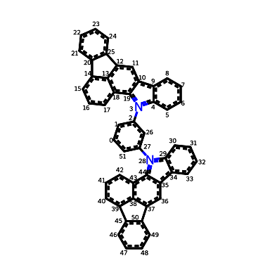 c1cc(-n2c3ccccc3c3cc4c5c(cccc5c32)-c2ccccc2-4)cc(-n2c3ccccc3c3cc4c5c(cccc5c32)-c2ccccc2-4)c1